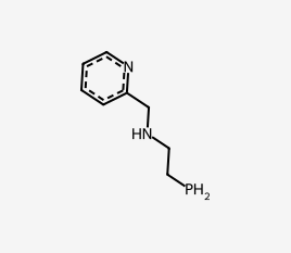 PCCNCc1ccccn1